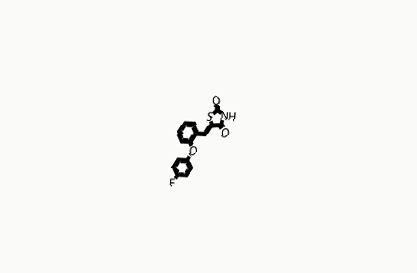 O=C1NC(=O)/C(=C/c2ccccc2Oc2ccc(F)cc2)S1